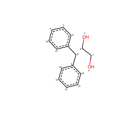 OCCO.c1ccc(Cc2ccccc2)cc1